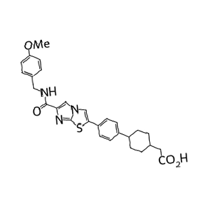 COc1ccc(CNC(=O)c2cn3cc(-c4ccc(C5CCC(CC(=O)O)CC5)cc4)sc3n2)cc1